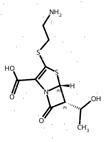 CC(O)[C@@H]1C(=O)N2C(C(=O)O)=C(SCCN)S[C@H]12